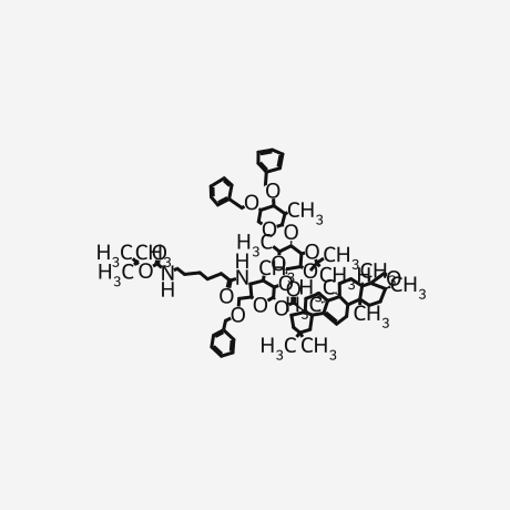 CC1C(OCc2ccccc2)[C@H](OCc2ccccc2)CO[C@H]1O[C@H]1C(C)O[C@@H](OC2C(C)[C@@H](NC(=O)CCCCCNC(=O)OC(C)(C)C)C(COCc3ccccc3)O[C@H]2OC(=O)[C@]23CCC(C)(C)CC2C2=CCC4C5(C)CC[C@H](C)[C@](C)(C=O)[C@@H]5CC[C@]4(C)[C@]2(C)CC3)C2OC(C)(C)OC21